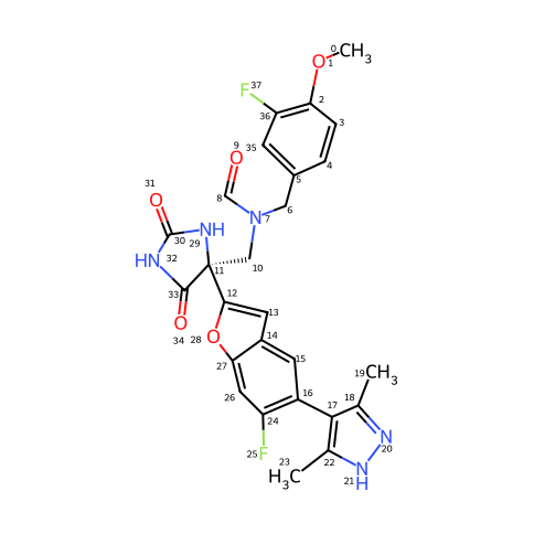 COc1ccc(CN(C=O)C[C@@]2(c3cc4cc(-c5c(C)n[nH]c5C)c(F)cc4o3)NC(=O)NC2=O)cc1F